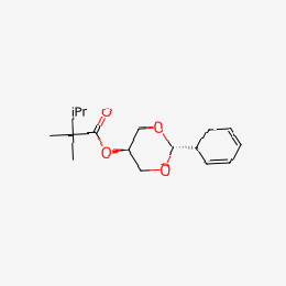 CC(C)C(C)(C)C(=O)O[C@H]1CO[C@H](C2C=CC=CC2)OC1